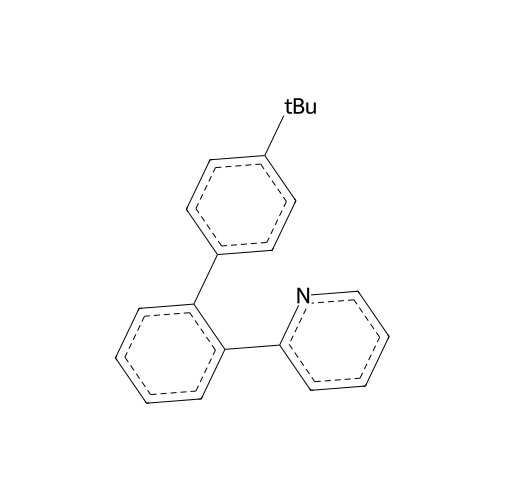 CC(C)(C)c1ccc(-c2ccccc2-c2ccccn2)cc1